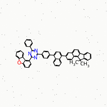 CC1(C)c2ccccc2-c2ccc3cc(-c4ccc(-c5ccc(-c6nc(-c7ccccc7)nc(-c7cccc8oc9ccccc9c78)n6)cc5)c5ccccc45)ccc3c21